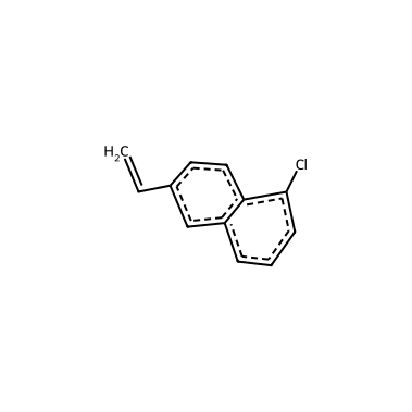 C=Cc1ccc2c(Cl)cccc2c1